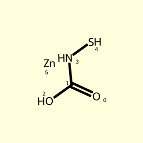 O=C(O)NS.[Zn]